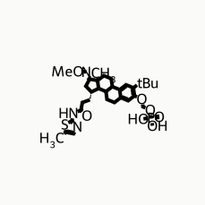 CON=C1C[C@@H](CCC(=O)Nc2ncc(C)s2)C2C3CCc4cc(OCOP(=O)(O)O)c(C(C)(C)C)cc4C3CC[C@]12C